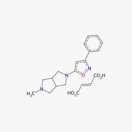 CN1CC2CN(c3cc(-c4ccccc4)no3)CC2C1.O=C(O)C=CC(=O)O